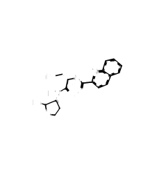 CC(C)C[C@H](NC(=O)c1ccc2ccccc2n1)C(=O)N[C@H]1CCOC1O